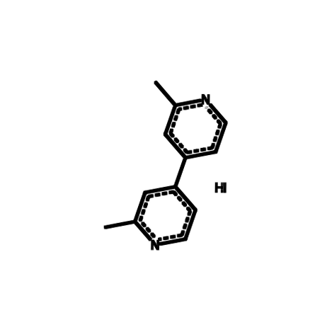 Cc1cc(-c2ccnc(C)c2)ccn1.I